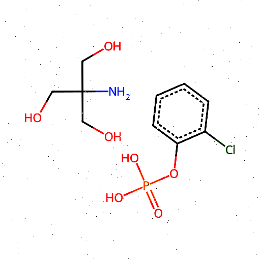 NC(CO)(CO)CO.O=P(O)(O)Oc1ccccc1Cl